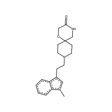 Cn1cc(CCN2CCC3(CC2)CNC(=O)CO3)c2ccccc21